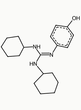 Oc1ccc(N=C(NC2CCCCC2)NC2CCCCC2)cc1